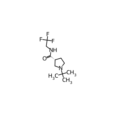 CC(C)(C)N1CC[C@@H](C(=O)NCC(F)(F)F)C1